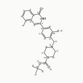 Cc1cccc2c(=O)[nH]c(-c3ccc(CN4CCN(C(=O)OC(C)(C)C)CC4)c(F)c3)cc12